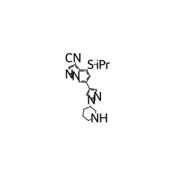 CC(C)Sc1cc(-c2cnn([C@H]3CCCNC3)c2)cn2ncc(C#N)c12